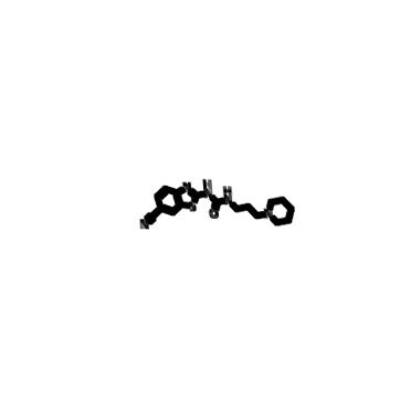 N#Cc1ccc2nc(NC(=O)NCCCN3CCCCC3)sc2c1